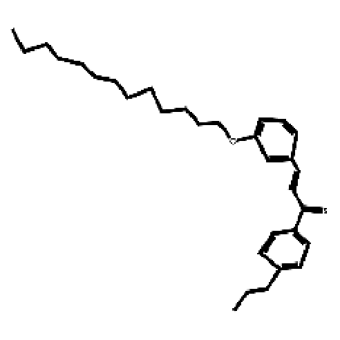 CCCCCCCCCCCCCOc1cccc(C=CC(=S)c2ccc(CCC)cc2)c1